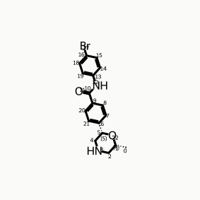 C[C@@H]1CNC[C@H](c2ccc(C(=O)Nc3ccc(Br)cc3)cc2)O1